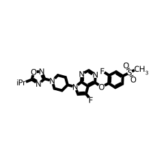 CC(C)c1nc(N2CCC(n3cc(F)c4c(Oc5ccc(S(C)(=O)=O)cc5F)ncnc43)CC2)no1